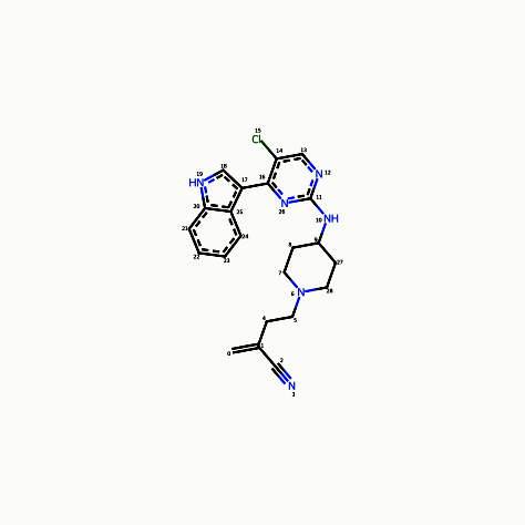 C=C(C#N)CCN1CCC(Nc2ncc(Cl)c(-c3c[nH]c4ccccc34)n2)CC1